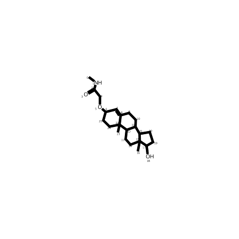 CNC(=O)COC1C=C2CCC3C(CCC4(C)C(O)CCC34)C2(C)CC1